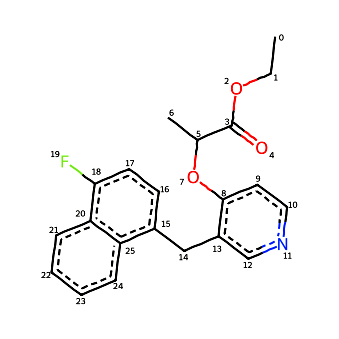 CCOC(=O)C(C)Oc1ccncc1Cc1ccc(F)c2ccccc12